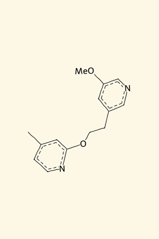 COc1cncc(CCOc2cc(C)ccn2)c1